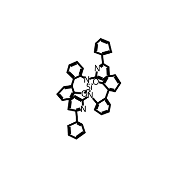 c1ccc(-c2cccc(N3c4ccccc4-c4ccccc4O[Si]34Oc3ccccc3-c3ccccc3N4c3cccc(-c4ccccc4)n3)n2)cc1